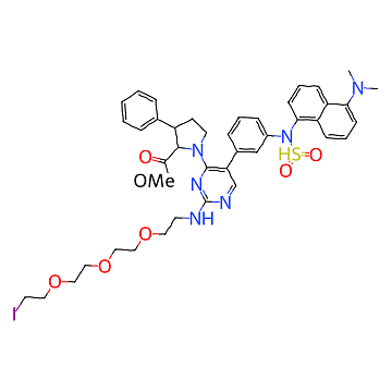 COC(=O)C1C(c2ccccc2)CCN1c1nc(NCCOCCOCCOCCI)ncc1-c1cccc(N(c2cccc3c(N(C)C)cccc23)[SH](=O)=O)c1